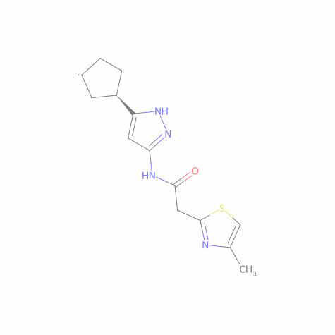 Cc1csc(CC(=O)Nc2cc([C@H]3C[CH]CC3)[nH]n2)n1